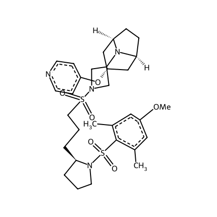 COc1cc(C)c(S(=O)(=O)N2CCC[C@H]2CCCS(=O)(=O)N2CC(N3[C@@H]4CC[C@H]3C[C@H](Oc3ccncc3)C4)C2)c(C)c1